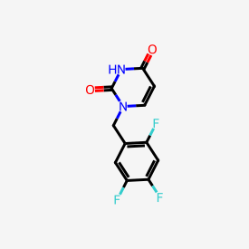 O=c1ccn(Cc2cc(F)c(F)cc2F)c(=O)[nH]1